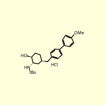 COc1ccc(-c2ccc(C[C@@H]3CC[C@H](O)[C@@H](NC(C)(C)C)C3)cc2)cc1.Cl